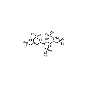 O=P([O-])(O)CN(CCN(CCN(CP(=O)(O)O)CP(=O)(O)O)CP(=O)(O)O)CP(=O)(O)O.[Na+]